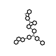 c1ccc(-c2ccc(N(c3ccc(-c4ccc5c(ccc6ccccc65)c4)cc3)c3cccc(-c4cccc5c4c4ccccc4n5-c4ccc5sc6ccccc6c5c4)c3)cc2)cc1